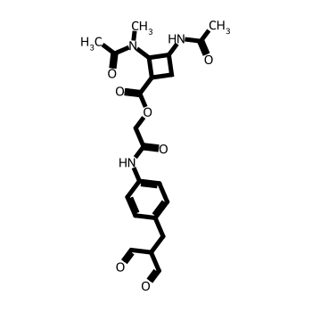 CC(=O)NC1CC(C(=O)OCC(=O)Nc2ccc(CC(C=O)C=O)cc2)C1N(C)C(C)=O